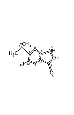 CC(C)c1cc2[nH]oc(=O)c2cc1I